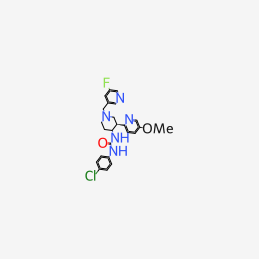 COc1ccc([C@@H]2CN(Cc3cncc(F)c3)CC[C@H]2NC(=O)Nc2ccc(Cl)cc2)nc1